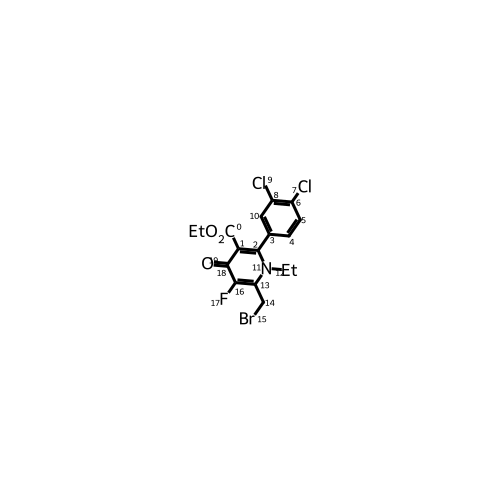 CCOC(=O)c1c(-c2ccc(Cl)c(Cl)c2)n(CC)c(CBr)c(F)c1=O